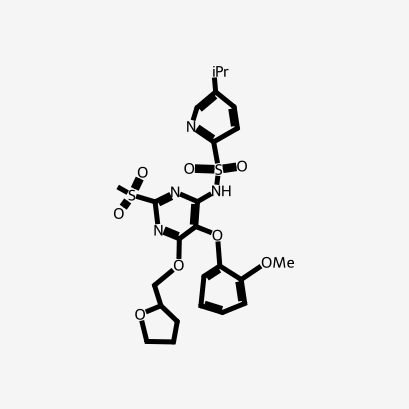 COc1ccccc1Oc1c(NS(=O)(=O)c2ccc(C(C)C)cn2)nc(S(C)(=O)=O)nc1OCC1CCCO1